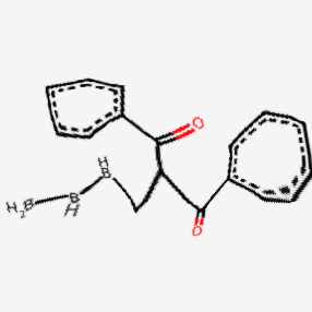 BBBCC(C(=O)c1ccccc1)C(=O)c1ccccc1